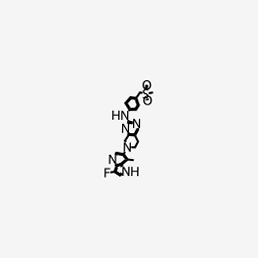 Cc1c(N2CCc3cnc(Nc4ccc(CS(C)(=O)=O)cc4)nc3C2)cnc2c(F)c[nH]c12